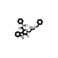 CCN(C(=O)c1nn(C[C@@H](O)COCc2ccccc2)c(=O)c2c1c1ccccc1n2C)c1ccccc1